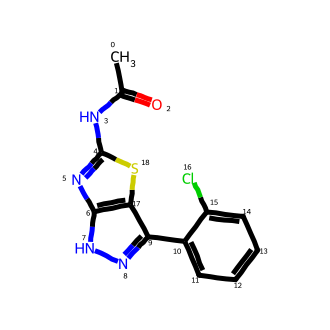 CC(=O)Nc1nc2[nH]nc(-c3ccccc3Cl)c2s1